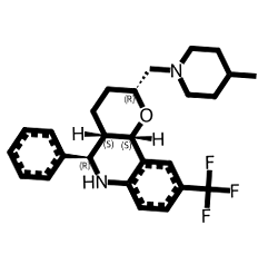 CC1CCN(C[C@H]2CC[C@@H]3[C@H](O2)c2cc(C(F)(F)F)ccc2N[C@H]3c2ccccc2)CC1